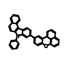 c1ccc(-n2c3cc(-c4ccc5c(c4)-c4cccc6cccc(c46)O5)ccc3c3c4ccccc4ccc32)cc1